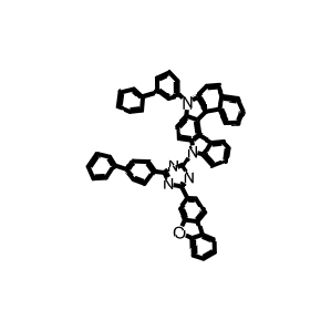 c1ccc(-c2ccc(-c3nc(-c4ccc5c(c4)oc4ccccc45)nc(-n4c5ccccc5c5c6c7c8ccccc8ccc7n(-c7cccc(-c8ccccc8)c7)c6ccc54)n3)cc2)cc1